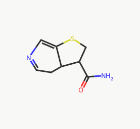 NC(=O)C1CSC2=CN=CCC21